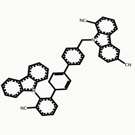 N#Cc1ccc2c(c1)c1cccc(C#N)c1n2Cc1ccc(C2=CCC(c3cccc(C#N)c3-n3c4ccccc4c4ccccc43)C=C2)cc1